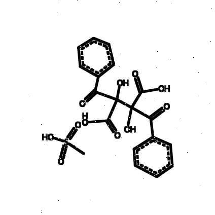 CS(=O)(=O)O.O=C(O)C(O)(C(=O)c1ccccc1)C(O)(C(=O)O)C(=O)c1ccccc1